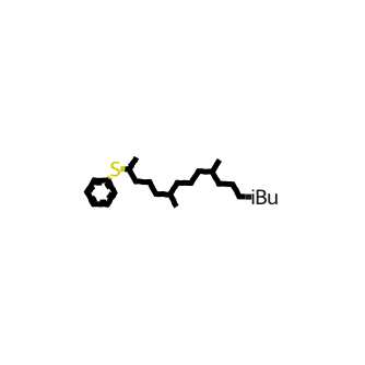 CCC(C)CCCC(C)CCCC(C)CCC[C](C)Sc1ccccc1